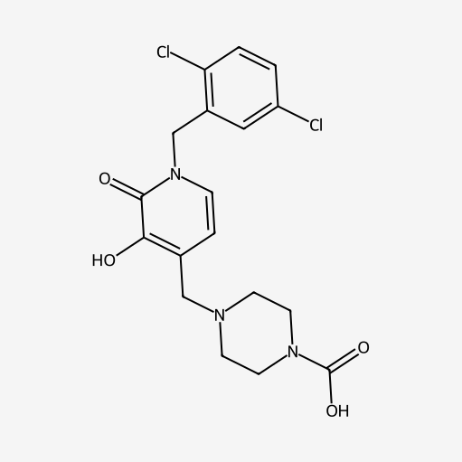 O=C(O)N1CCN(Cc2ccn(Cc3cc(Cl)ccc3Cl)c(=O)c2O)CC1